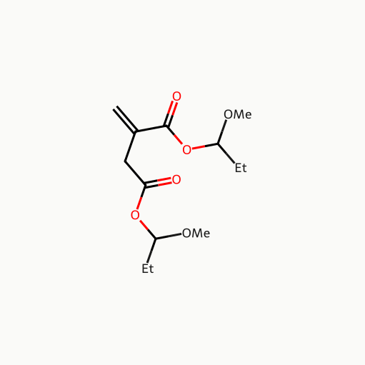 C=C(CC(=O)OC(CC)OC)C(=O)OC(CC)OC